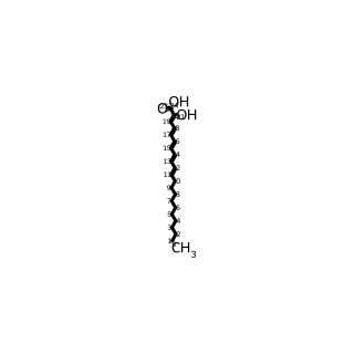 CCCCCCCCCCC/C=C/C=C/C=C/C=C/C=C(\O)C(=O)O